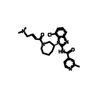 Cc1cc(C(=O)Nc2nc3cc#cc(Cl)c3n2[C@@H]2CCCCN(C(=O)/C=C/CN(C)C)C2)ccn1